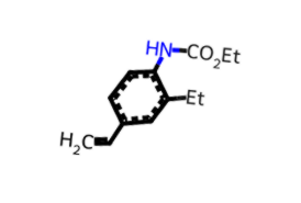 C=Cc1ccc(NC(=O)OCC)c(CC)c1